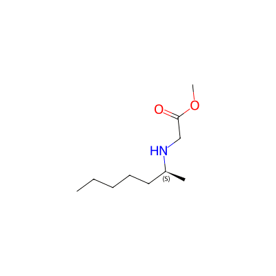 CCCCC[C@H](C)NCC(=O)OC